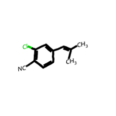 CC(C)=Cc1ccc(C#N)c(Cl)c1